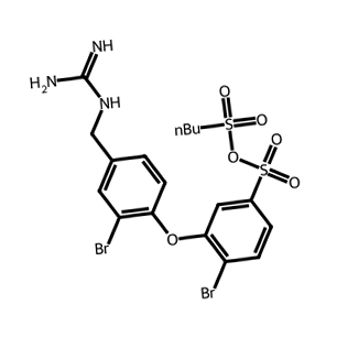 CCCCS(=O)(=O)OS(=O)(=O)c1ccc(Br)c(Oc2ccc(CNC(=N)N)cc2Br)c1